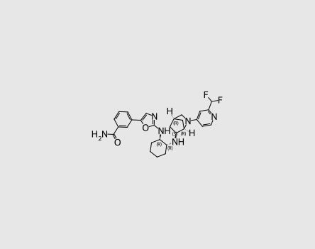 NC(=O)c1cccc(-c2cnc(N[C@@H]3CCCC[C@H]3N[C@H]3C[C@@H]4C[C@H]3N(c3ccnc(C(F)F)c3)C4)o2)c1